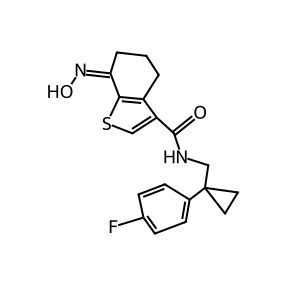 O=C(NCC1(c2ccc(F)cc2)CC1)c1csc2c1CCC/C2=N/O